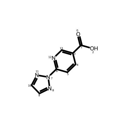 O=C(O)c1ccc(-n2nccn2)nc1